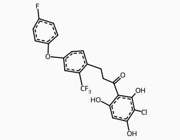 O=C(CCc1ccc(Oc2ccc(F)cc2)cc1C(F)(F)F)c1c(O)cc(O)c(Cl)c1O